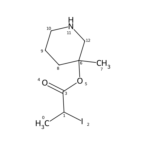 CC(I)C(=O)OC1(C)CCCNC1